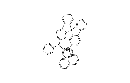 c1ccc(N(c2ccccc2)c2ccc3c(c2)C2(c4ccccc4-c4ccc(Nc5cccc6ccccc56)cc42)c2ccccc2-3)cc1